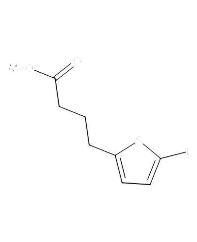 COC(=O)CCCc1ccc(I)s1